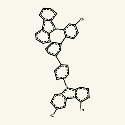 N#Cc1ccc(-c2cccc(-c3ccc(-n4c5ccc(C#N)cc5c5c(C#N)cccc54)cc3)c2)c(-n2c3ccccc3c3ccccc32)c1